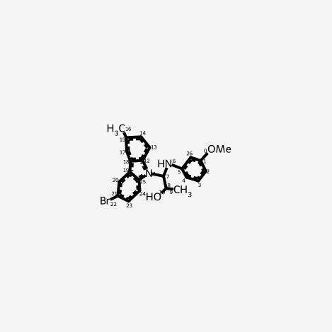 COc1cccc(NC(C(C)O)n2c3ccc(C)cc3c3cc(Br)ccc32)c1